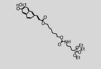 CCCCCCCCOc1ccc2cc(/C=C/C(=O)OCCCCCCOC(=O)NCCC[Si](OCC)(OCC)OCC)ccc2c1